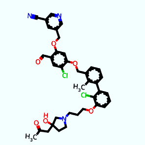 CC(=O)CC1(O)CCN(CCCOc2cccc(-c3cccc(COc4cc(OCc5cncc(C#N)c5)c(C=O)cc4Cl)c3C)c2Cl)C1